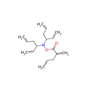 C=CCC(=C)C(=O)ON(C(C=C)CC=C)C(C=C)CC=C